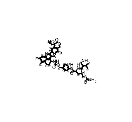 CCC1(O)C(=O)OCc2c1cc1n(c2=O)Cc2c-1nc1cc(F)c(C)c3c1c2C(NC(=O)OCc1ccc(NC(=O)C(CCCNC(N)=O)NC(=O)C(CN)C(C)C)cc1)CC3